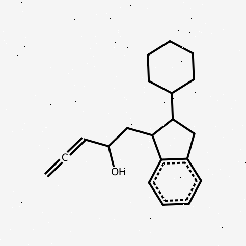 C=C=CC(O)CC1c2ccccc2CC1C1CCCCC1